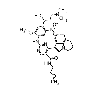 COCCNC(=O)c1cnc(Nc2cc([N+](=O)[O-])c(N(C)CCN(C)C)cc2OC)nc1-c1cn2c3c(cccc13)CCC2